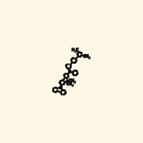 Cc1cc(C)cc(-c2ccc(-c3cccc(N(c4ccccc4)c4ccc5c(c4)C(C)(C)c4cc(-n6c7ccccc7c7ccccc76)ccc4-5)c3)cc2)c1